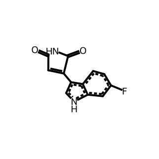 O=C1C=C(c2c[nH]c3cc(F)ccc23)C(=O)N1